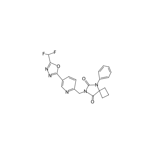 O=C1N(Cc2ccc(-c3nnc(C(F)F)o3)cn2)C(=O)C2(CCC2)N1c1ccccc1